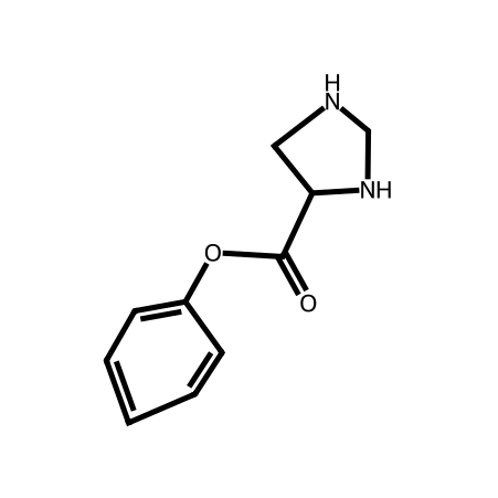 O=C(Oc1ccccc1)C1CNCN1